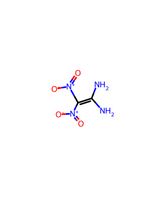 NC(N)=C([N+](=O)[O-])[N+](=O)[O-]